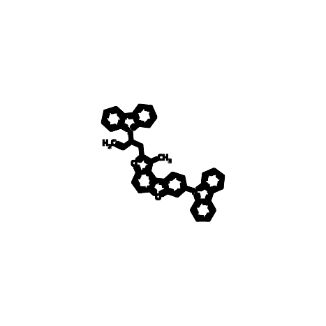 C=CC(Cc1oc2ccc3oc4cc(-n5c6ccccc6c6ccccc65)ccc4c3c2c1C)n1c2ccccc2c2ccccc21